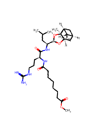 COC(=O)CCCCCCC(=O)N[C@@H](CCCNC(=N)N)C(=O)N[C@@H](CC(C)C)B1O[C@@H]2C[C@@H]3C[C@@H](C3(C)C)[C@]2(C)O1